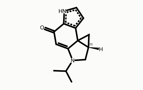 CC(C)N1C[C@H]2CC23C1=CC(=O)c1[nH]ccc13